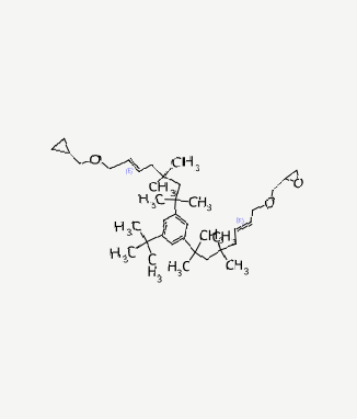 CC(C)(C/C=C/COCC1CC1)CC(C)(C)c1cc(C(C)(C)C)cc(C(C)(C)CC(C)(C)C/C=C/COCC2CO2)c1